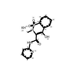 CN1C(C(=O)Nc2ccccn2)=C(O)c2ccccc2S1(=O)=O.[KH]